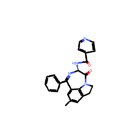 Cc1cc2c3c(c1)C(c1ccccc1)=N[C@@H](NC(=O)c1ccncc1)C(=O)N3CC2